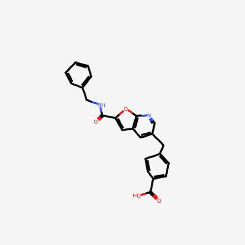 O=C(O)c1ccc(Cc2cnc3oc(C(=O)NCc4ccccc4)cc3c2)cc1